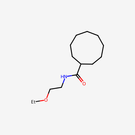 CCOCCNC(=O)C1CCCCCCCC1